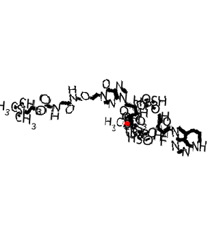 CC(C)(C)[Si](C)(C)CO[C@H]1[C@H]2OP(=O)(S)OC[C@H]3O[C@@H](n4cc5c6c(ncnc64)NCCC5)[C@H](F)[C@@H]3OP(=O)(S)OC[C@H]1O[C@H]2n1cnc2c(=O)n(CCOCNC(=O)CNC(=O)OCC[Si](C)(C)C)cnc21